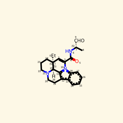 CC[C@@]12C=C(C(=O)N[C@@H](C)C=O)n3c4c(c5ccccc53)CCN(CCC1)[C@H]42